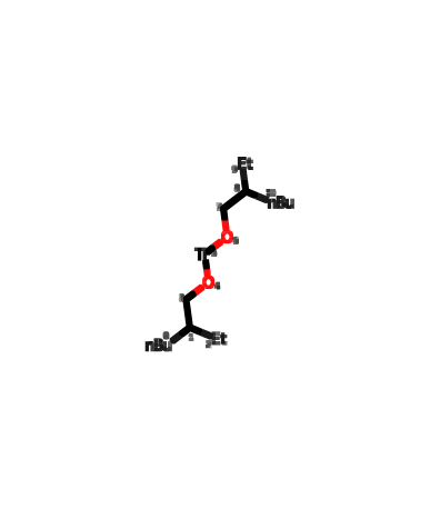 CCCCC(CC)C[O][Ti][O]CC(CC)CCCC